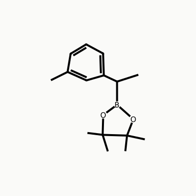 Cc1cccc(C(C)B2OC(C)(C)C(C)(C)O2)c1